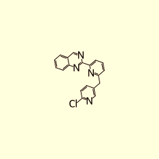 Clc1ccc(Cc2cccc(-c3ncc4ccccc4n3)n2)cn1